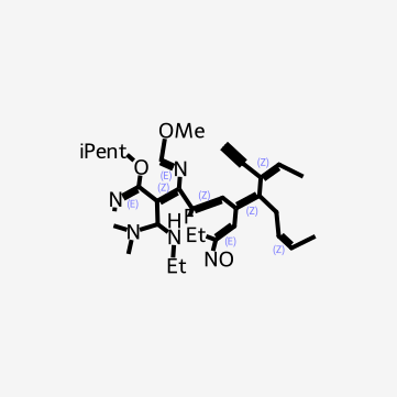 C#CC(=C/C)/C(C/C=C\C)=C(\C=C(/F)C(/N=C/OC)=C(/C(=N\C)OC(C)CCC)C(NCC)N(C)C)/C=C(\CC)N=O